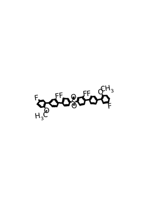 COc1ccc(F)cc1-c1ccc(-c2ccc(S(=O)(=O)c3ccc(-c4ccc(-c5cc(F)ccc5OC)cc4F)c(F)c3)cc2F)c(F)c1